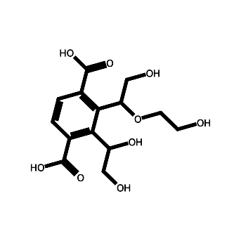 O=C(O)c1ccc(C(=O)O)c(C(CO)OCCO)c1C(O)CO